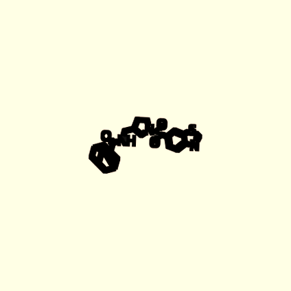 O=C(NCC1CCN(S(=O)(=O)c2ccc3ncsc3c2)C1)C12CC3CC(CC(C3)C1)C2